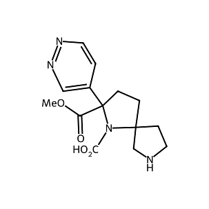 COC(=O)C1(c2ccnnc2)CCC2(CCNC2)N1C(=O)O